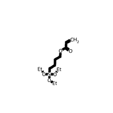 C=CC(=O)OCCCC[Si](OCC)(OCC)OCC